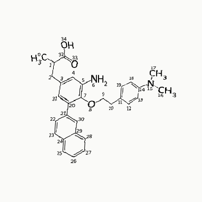 CC(Cc1cc(N)c(OCCc2ccc(N(C)C)cc2)c(-c2ccc3ccccc3c2)c1)C(=O)O